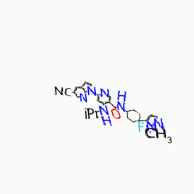 CC(C)Nc1cc(-n2ccc3cc(C#N)cnc32)ncc1C(=O)NC1CCC(F)(c2ccnn2C)CC1